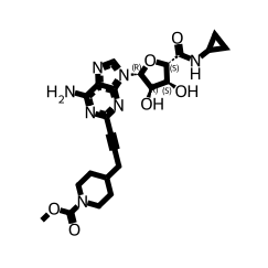 COC(=O)N1CCC(CC#Cc2nc(N)c3ncn([C@@H]4O[C@H](C(=O)NC5CC5)[C@@H](O)[C@H]4O)c3n2)CC1